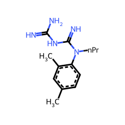 CCCN(C(=N)NC(=N)N)c1ccc(C)cc1C